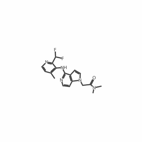 Cc1ccnc(C(F)F)c1Nc1nccc2c1ccn2CC(=O)N(C)C